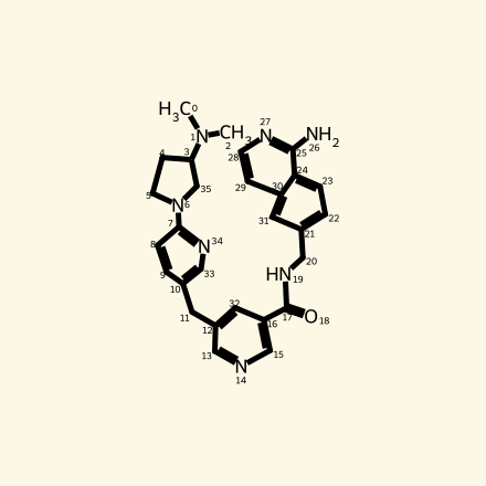 CN(C)C1CCN(c2ccc(Cc3cncc(C(=O)NCc4ccc5c(N)nccc5c4)c3)cn2)C1